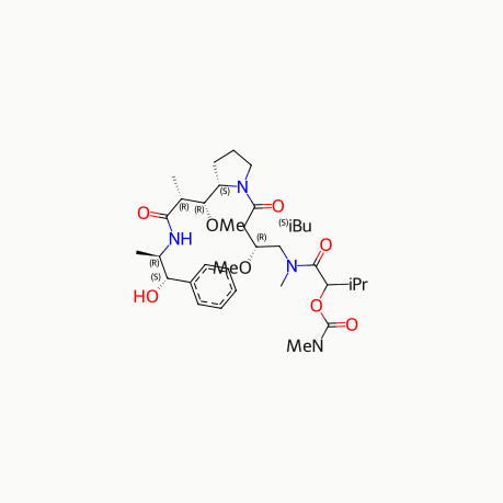 CC[C@H](C)C([C@@H](CC(=O)N1CCC[C@H]1[C@H](OC)[C@@H](C)C(=O)N[C@H](C)[C@@H](O)c1ccccc1)OC)N(C)C(=O)C(OC(=O)NC)C(C)C